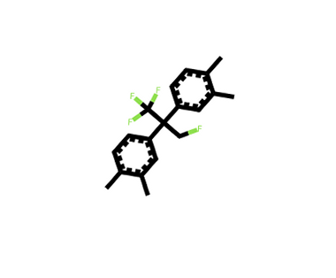 Cc1ccc(C(CF)(c2ccc(C)c(C)c2)C(F)(F)F)cc1C